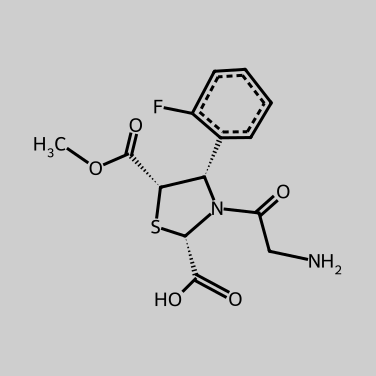 COC(=O)[C@H]1S[C@@H](C(=O)O)N(C(=O)CN)[C@H]1c1ccccc1F